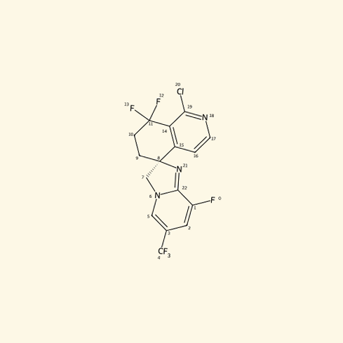 FC1=CC(C(F)(F)F)=CN2C[C@@]3(CCC(F)(F)c4c3ccnc4Cl)N=C12